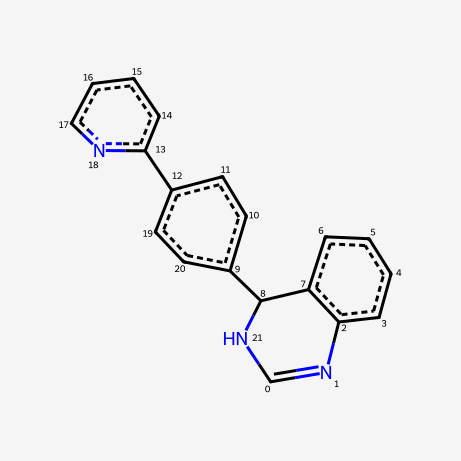 C1=Nc2ccccc2C(c2ccc(-c3ccccn3)cc2)N1